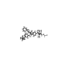 CCCCNNC(=O)c1ccc2c(c1)cc(COc1ccccc1)n2Cc1cccc(SC(F)(F)F)c1